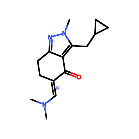 CN(C)/C=C1\CCc2nn(C)c(CC3CC3)c2C1=O